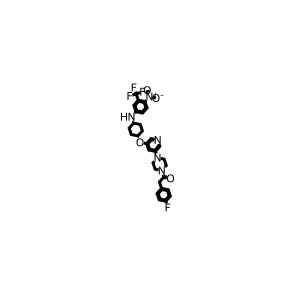 O=C(Cc1ccc(F)cc1)N1CCN(c2cncc(O[C@H]3CC[C@H](Nc4ccc([N+](=O)[O-])c(C(F)(F)F)c4)CC3)c2)CC1